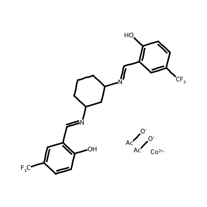 CC(=O)[O-].CC(=O)[O-].Oc1ccc(C(F)(F)F)cc1C=NC1CCCC(N=Cc2cc(C(F)(F)F)ccc2O)C1.[Co+2]